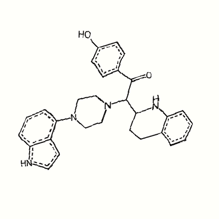 O=C(c1ccc(O)cc1)C(C1CCc2ccccc2N1)N1CCN(c2cccc3[nH]ccc23)CC1